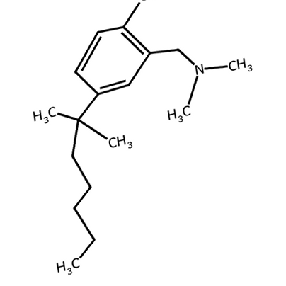 CCCCCC(C)(C)c1ccc(O)c(CN(C)C)c1